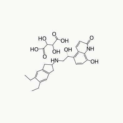 CCc1cc2c(cc1CC)CC(NC[C@H](O)c1ccc(O)c3[nH]c(=O)ccc13)C2.O=C(O)C(O)C(O)C(=O)O